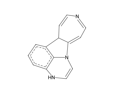 C1=CC2C(=CC=N1)N1C=CNc3cccc2c31